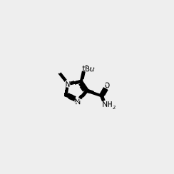 Cn1cnc(C(N)=O)c1C(C)(C)C